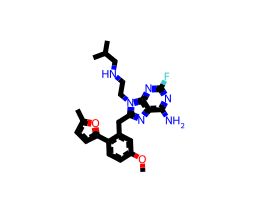 COc1ccc(-c2ccc(C)o2)c(Cc2nc3c(N)nc(F)nc3n2CCNCC(C)C)c1